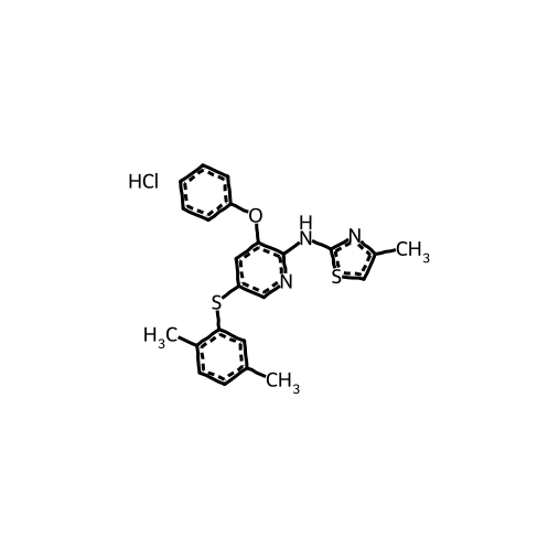 Cc1ccc(C)c(Sc2cnc(Nc3nc(C)cs3)c(Oc3ccccc3)c2)c1.Cl